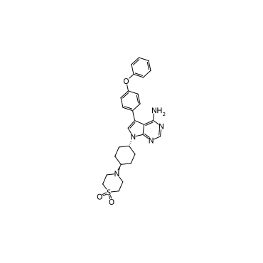 Nc1ncnc2c1c(-c1ccc(Oc3ccccc3)cc1)cn2[C@H]1CC[C@H](N2CCS(=O)(=O)CC2)CC1